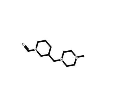 CN1CCN(CC2CCCN(C=O)C2)CC1